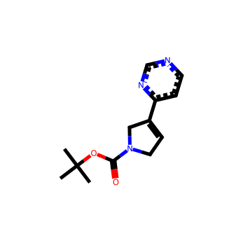 CC(C)(C)OC(=O)N1CC=C(c2ccncn2)C1